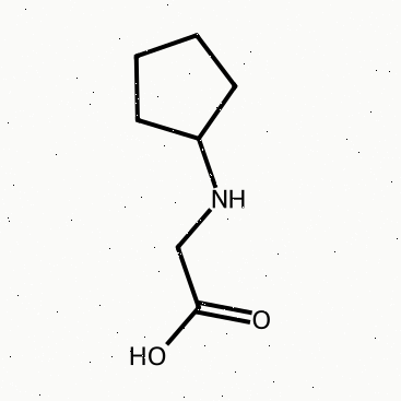 O=C(O)CNC1CCCC1